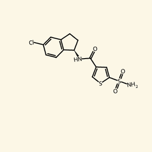 NS(=O)(=O)c1cc(C(=O)N[C@@H]2CCc3cc(Cl)ccc32)cs1